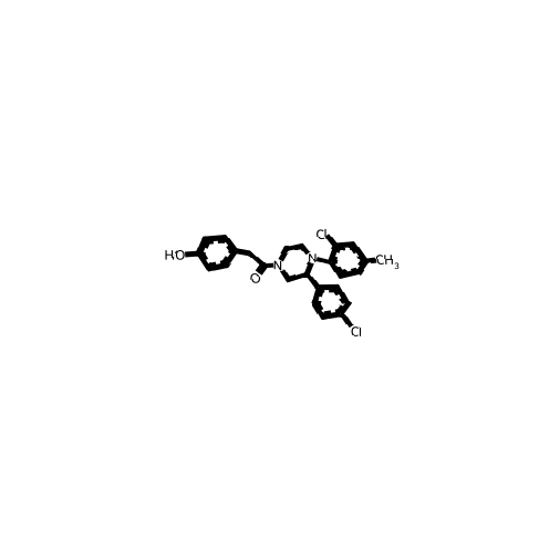 Cc1ccc(N2CCN(C(=O)Cc3ccc(O)cc3)CC2c2ccc(Cl)cc2)c(Cl)c1